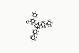 Clc1cc(-c2ccccc2)cc(-c2nc(-c3ccc(-c4ccccc4)cc3)nc(-c3ccc(-c4ccccc4)cc3)n2)c1